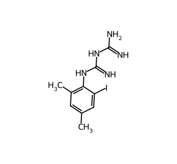 Cc1cc(C)c(NC(=N)NC(=N)N)c(I)c1